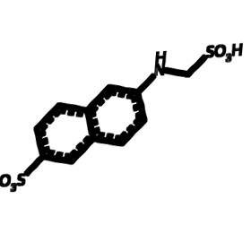 O=S(=O)(O)CNc1ccc2cc(S(=O)(=O)O)ccc2c1